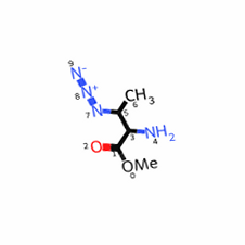 COC(=O)C(N)C(C)N=[N+]=[N-]